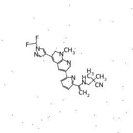 C=C(NCC(C)(C)C#N)c1cccc(-c2cnc3c(c2)C=C(c2cnn(C(F)F)c2)CN3C)n1